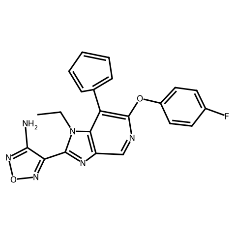 CCn1c(-c2nonc2N)nc2cnc(Oc3ccc(F)cc3)c(-c3ccccc3)c21